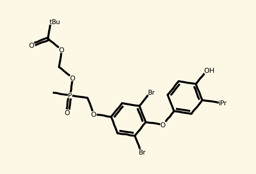 CC(C)c1cc(Oc2c(Br)cc(OCP(C)(=O)OCOC(=O)C(C)(C)C)cc2Br)ccc1O